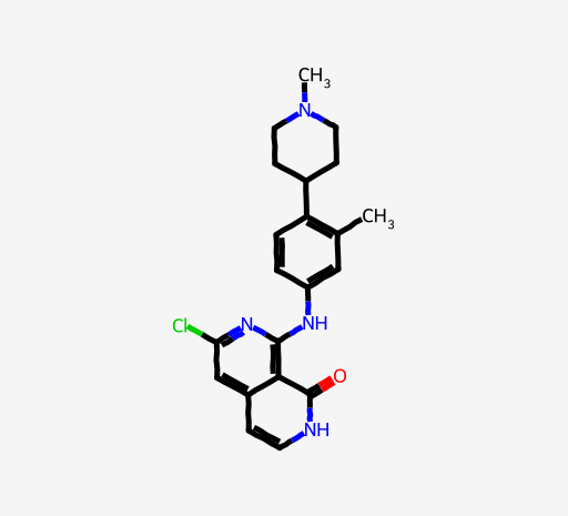 Cc1cc(Nc2nc(Cl)cc3cc[nH]c(=O)c23)ccc1C1CCN(C)CC1